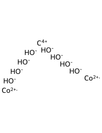 [C+4].[Co+2].[Co+2].[OH-].[OH-].[OH-].[OH-].[OH-].[OH-].[OH-].[OH-]